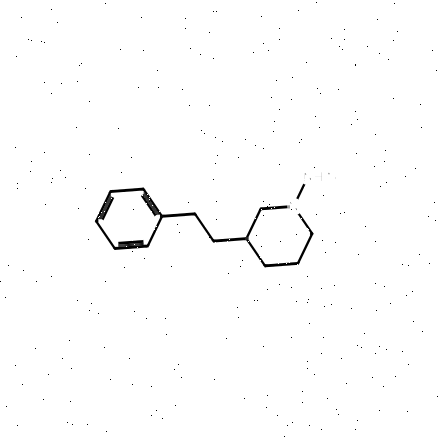 CC(=O)NN1CCCC(CCc2ccccc2)C1